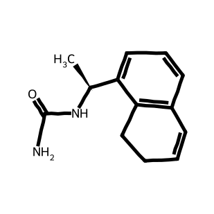 C[C@H](NC(N)=O)c1cccc2c1CCC=C2